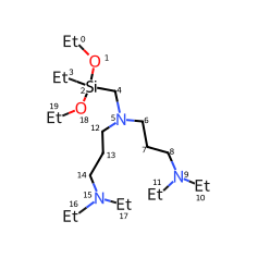 CCO[Si](CC)(CN(CCCN(CC)CC)CCCN(CC)CC)OCC